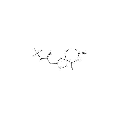 CC(C)(C)OC(=O)CN1CCC2(CCCC(=O)NC2=O)C1